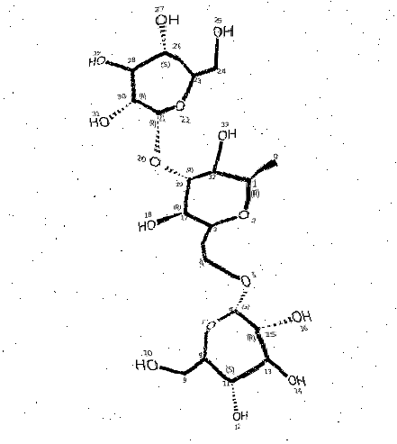 C[C@H]1OC(CO[C@H]2OC(CO)[C@@H](O)C(O)[C@H]2O)[C@@H](O)[C@H](O[C@H]2OC(CO)[C@@H](O)C(O)[C@H]2O)C1O